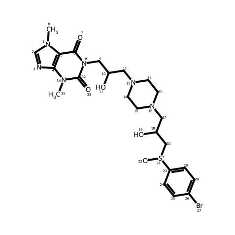 Cn1cnc2c1c(=O)n(CC(O)CN1CCN(CC(O)C[S+]([O-])c3ccc(Br)cc3)CC1)c(=O)n2C